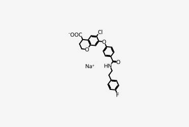 O=C(NCCc1ccc(F)cc1)c1ccc(Oc2cc3c(cc2Cl)C(C(=O)[O-])CCO3)cc1.[Na+]